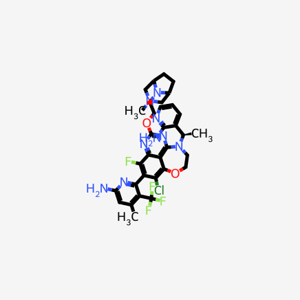 Cc1cc(N)nc(-c2c(Cl)c3c4c(nc(OCCN5C6CCC5CN(C)C6)nc4c2F)N([C@H](C)c2cccnc2N)CCO3)c1C(F)(F)F